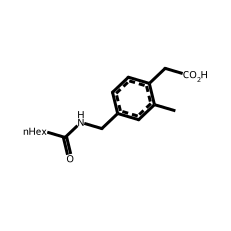 CCCCCCC(=O)NCc1ccc(CC(=O)O)c(C)c1